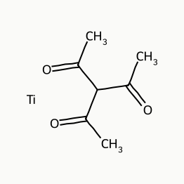 CC(=O)C(C(C)=O)C(C)=O.[Ti]